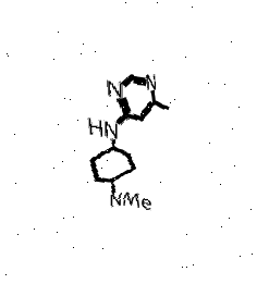 CN[C@H]1CC[C@@H](Nc2cc(C)ncn2)CC1